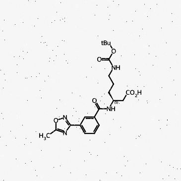 Cc1nc(-c2cccc(C(=O)N[C@@H](CCCNC(=O)OC(C)(C)C)CC(=O)O)c2)no1